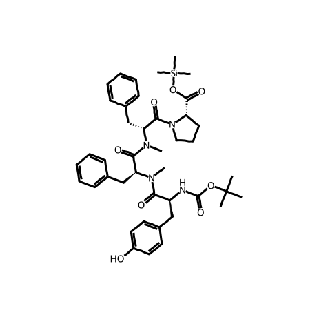 CN(C(=O)[C@H](Cc1ccccc1)N(C)C(=O)[C@H](Cc1ccc(O)cc1)NC(=O)OC(C)(C)C)[C@H](Cc1ccccc1)C(=O)N1CCC[C@H]1C(=O)O[Si](C)(C)C